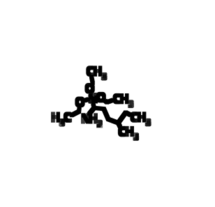 CCO[Si](OCC)(OCC)C(N)CCC(C)CC